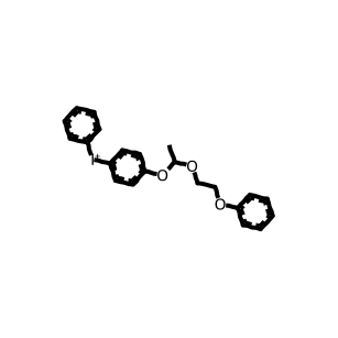 CC(OCCOc1ccccc1)Oc1ccc([I+]c2ccccc2)cc1